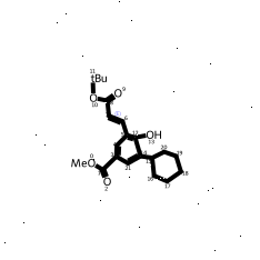 COC(=O)c1cc(/C=C/C(=O)OC(C)(C)C)c(O)c(C2CCCCC2)c1